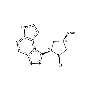 CCN1C[C@H](NC)C[C@@H]1c1nnc2cnc3[nH]ccc3n12